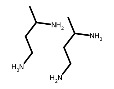 CC(N)CCN.CC(N)CCN